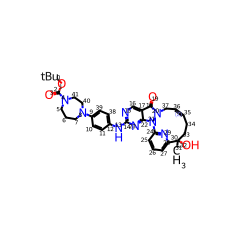 CC(C)(C)OC(=O)N1CCCN(c2ccc(Nc3ncc4c(=O)n5n(c4n3)-c3cccc(n3)C(C)(O)CC/C=C\C5)cc2)CC1